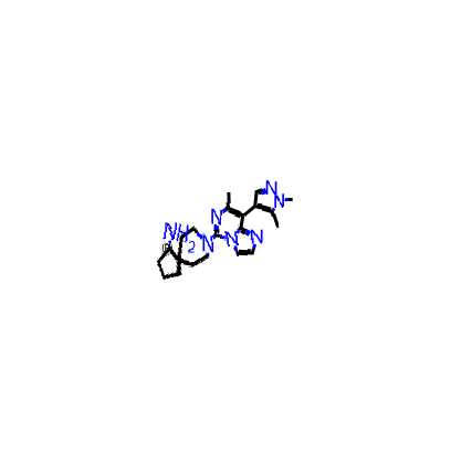 Cc1nc(N2CCC3(CCC[C@H]3N)CC2)n2ccnc2c1-c1cnn(C)c1C